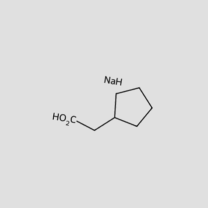 O=C(O)CC1CCCC1.[NaH]